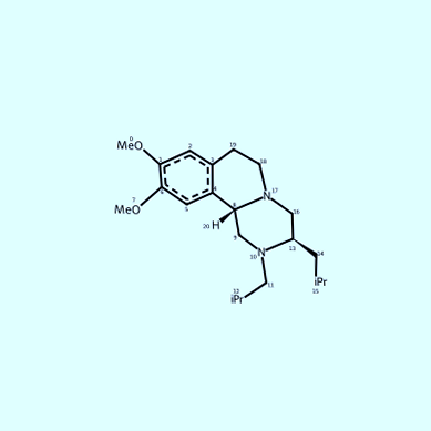 COc1cc2c(cc1OC)[C@H]1CN(CC(C)C)[C@H](CC(C)C)CN1CC2